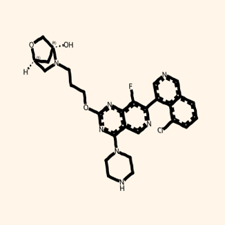 O[C@]12CO[C@H](CN1CCCOc1nc(N3CCNCC3)c3cnc(-c4cncc5cccc(Cl)c45)c(F)c3n1)C2